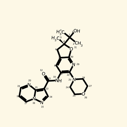 CC(C)(O)[C@@]1(C)Cc2cc(NC(=O)c3cnn4cccnc34)c(N3CCOCC3)nc2O1